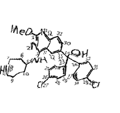 COc1nc(NC2CCNCC2)c2cc(C(O)(c3ccc(Cl)cc3)c3ccc(Cl)cc3)ccc2n1